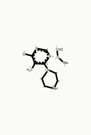 CC(C)(C)OC=O.Cc1c(Cl)ncnc1N1CCNCC1